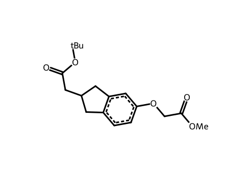 COC(=O)COc1ccc2c(c1)CC(CC(=O)OC(C)(C)C)C2